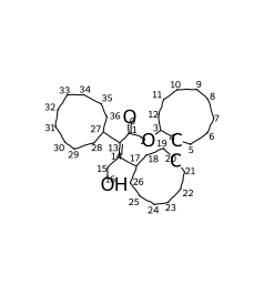 O=C(OC1CCCCCCCCC1)C(=C(CO)C1CCCCCCCCC1)C1CCCCCCCCC1